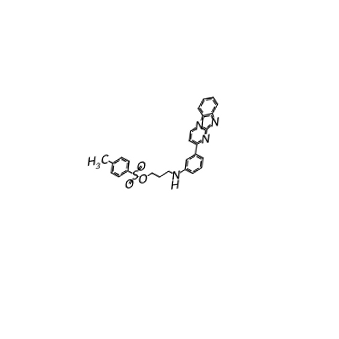 Cc1ccc(S(=O)(=O)OCCCNc2cccc(-c3ccn4c(n3)nc3ccccc34)c2)cc1